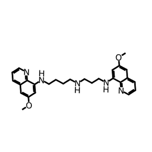 COc1cc(NCCCCNCCCNc2cc(OC)cc3cccnc23)c2ncccc2c1